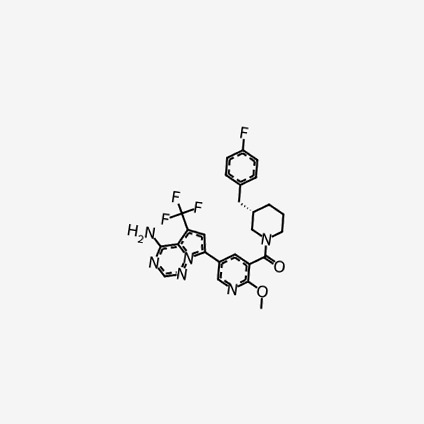 COc1ncc(-c2cc(C(F)(F)F)c3c(N)ncnn23)cc1C(=O)N1CCC[C@@H](Cc2ccc(F)cc2)C1